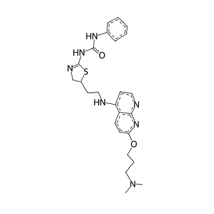 CN(C)CCCOc1ccc2c(NCCC3CN=C(NC(=O)Nc4ccccc4)S3)ccnc2n1